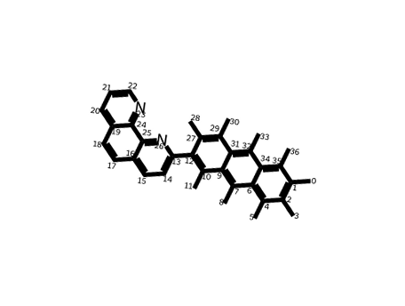 Cc1c(C)c(C)c2c(C)c3c(C)c(-c4ccc5ccc6cccnc6c5n4)c(C)c(C)c3c(C)c2c1C